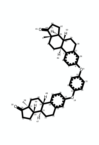 C[C@]12CC[C@@H]3c4ccc(Oc5ccc(Oc6ccc7c(c6)CC[C@@H]6[C@@H]7CC[C@]7(C)C(=O)CC[C@@H]67)cc5)cc4CC[C@H]3[C@@H]1CCC2=O